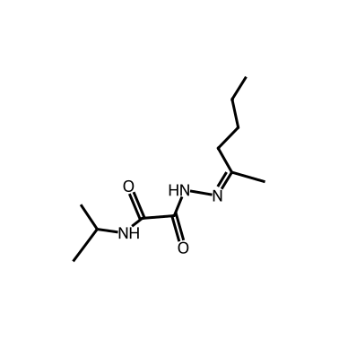 CCCC/C(C)=N\NC(=O)C(=O)NC(C)C